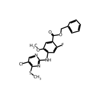 COc1cc(C(=O)OCc2ccccc2)c(F)cc1Nc1ncc(Cl)c(SC)n1